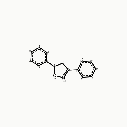 c1ccc(C2CC(c3ccccn3)=NO2)cc1